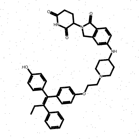 CCC(=C(c1ccc(O)cc1)c1ccc(OCCN2CCC(Nc3ccc4c(c3)CN(C3CCC(=O)NC3=O)C4=O)CC2)cc1)c1ccccc1